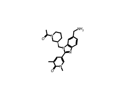 CC(=O)N1CCC[C@@H](Cn2c(-c3cc(C)c(=O)n(C)c3)nc3ccc(CN)cc32)C1